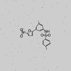 Cc1ccc(S(=O)(=O)Nc2cc(C)cc(-c3ccc([N+](=O)[O-])o3)c2)cc1